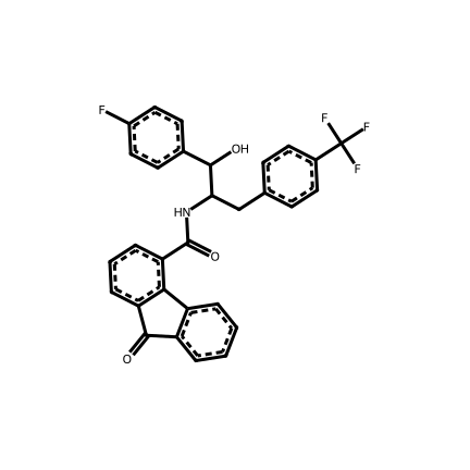 O=C(NC(Cc1ccc(C(F)(F)F)cc1)C(O)c1ccc(F)cc1)c1cccc2c1-c1ccccc1C2=O